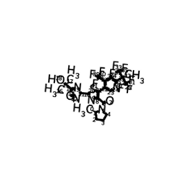 C[C@H]1CCCN1C(=O)c1nc(-c2noc(C(C)(C)O)n2)sc1-c1cnc(C(C)(C(F)(F)F)C(F)(F)F)cc1C(F)(F)F